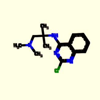 CN(C)CC(C)(C)Nc1nc(Cl)nc2ccccc12